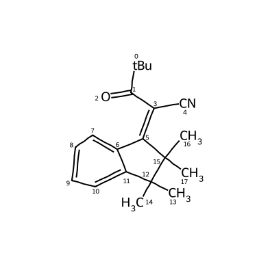 CC(C)(C)C(=O)C(C#N)=C1c2ccccc2C(C)(C)C1(C)C